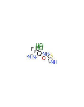 CN1CCN(Cc2cc(NC(=O)c3csc4c3CCNC4)cc(C(F)(F)F)c2)CC1.Cl.Cl.Cl